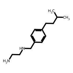 CC(C)CCc1ccc(CNCCN)cc1